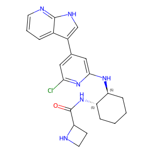 O=C(N[C@H]1CCCC[C@@H]1Nc1cc(-c2c[nH]c3ncccc23)cc(Cl)n1)C1CCN1